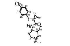 CN1CC[C@H](NC(=O)C2(Cc3ccc(Cl)cc3)CC2)[C@@H](F)C1